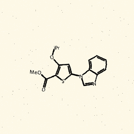 COC(=O)c1sc(-n2cnc3ccccc32)cc1OC(C)C